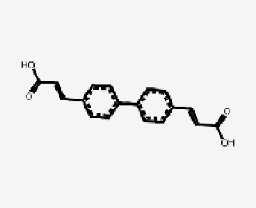 O=C(O)/C=C/c1ccc(-c2ccc(/C=C/C(=O)O)cc2)cc1